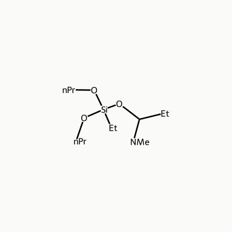 CCCO[Si](CC)(OCCC)OC(CC)NC